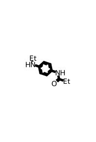 CCNc1ccc(NC(=O)CC)cc1